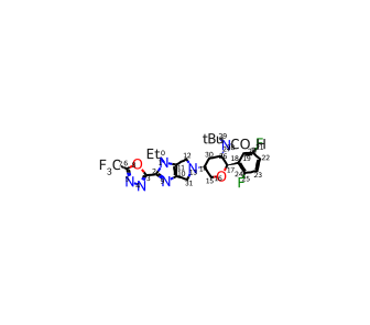 CCn1c(-c2nnc(C(F)(F)F)o2)nc2c1CN([C@H]1CO[C@H](c3cc(F)ccc3F)[C@@H](N(C(=O)O)C(C)(C)C)C1)C2